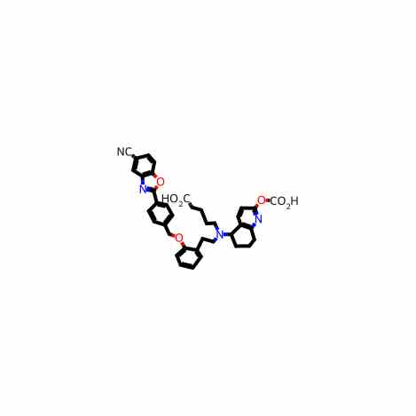 N#Cc1ccc2oc(-c3ccc(COc4ccccc4CCN(CCCCC(=O)O)C4CCCc5nc(OC(=O)O)ccc54)cc3)nc2c1